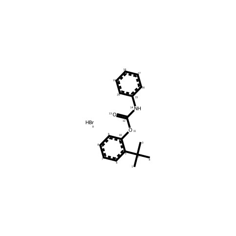 Br.CC(C)(C)c1ccccc1OC(=O)Nc1ccccc1